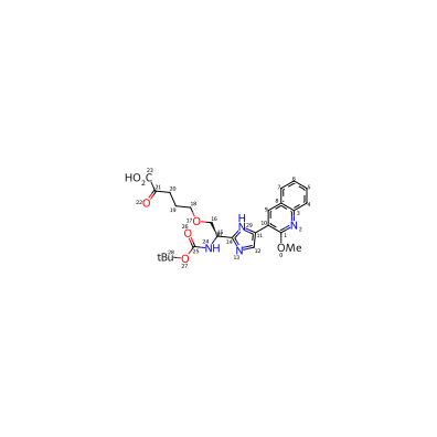 COc1nc2ccccc2cc1-c1cnc([C@H](COCCCC(=O)C(=O)O)NC(=O)OC(C)(C)C)[nH]1